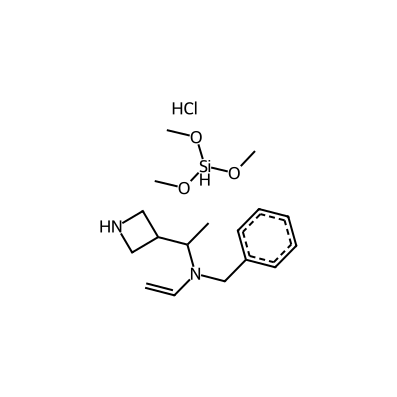 C=CN(Cc1ccccc1)C(C)C1CNC1.CO[SiH](OC)OC.Cl